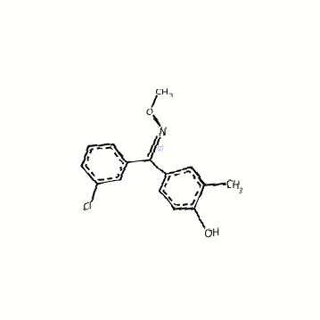 CO/N=C(\c1cccc(Cl)c1)c1ccc(O)c(C)c1